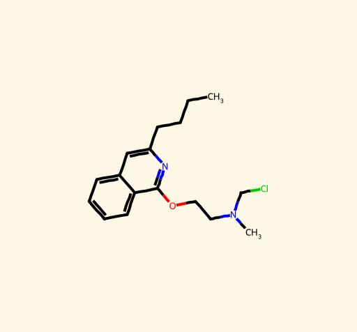 CCCCc1cc2ccccc2c(OCCN(C)CCl)n1